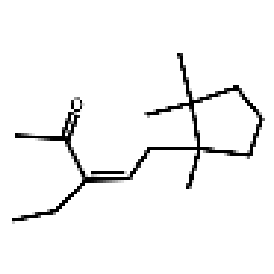 CCC(=CCC1(C)CCCC1(C)C)C(C)=O